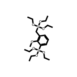 CCO[Si](Cc1cccc([Si](OCC)(OCC)OCC)c1OC)(OCC)OCC